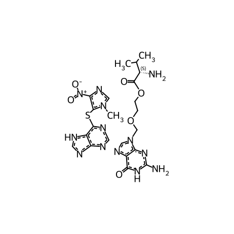 CC(C)[C@H](N)C(=O)OCCOCn1cnc2c(=O)[nH]c(N)nc21.Cn1cnc([N+](=O)[O-])c1Sc1ncnc2nc[nH]c12